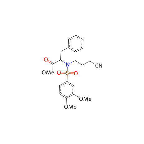 COC(=O)C(Cc1ccccc1)N(CCCC#N)S(=O)(=O)c1ccc(OC)c(OC)c1